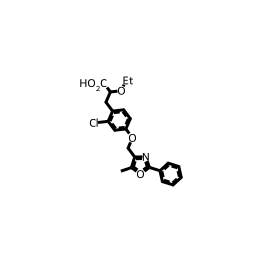 CCOC(Cc1ccc(OCc2nc(-c3ccccc3)oc2C)cc1Cl)C(=O)O